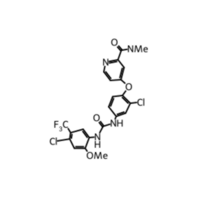 CNC(=O)c1cc(Oc2ccc(NC(=O)Nc3cc(C(F)(F)F)c(Cl)cc3OC)cc2Cl)ccn1